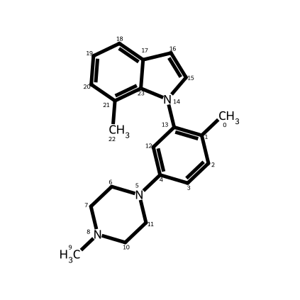 Cc1ccc(N2CCN(C)CC2)cc1-n1ccc2cccc(C)c21